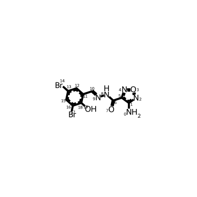 Nc1nonc1C(=O)N/N=C/c1cc(Br)cc(Br)c1O